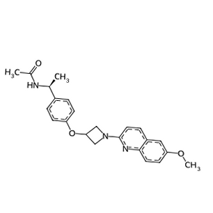 COc1ccc2nc(N3CC(Oc4ccc([C@H](C)NC(C)=O)cc4)C3)ccc2c1